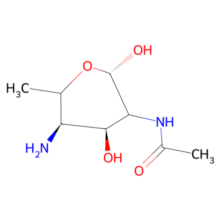 CC(=O)NC1[C@@H](O)[C@@H](N)C(C)O[C@@H]1O